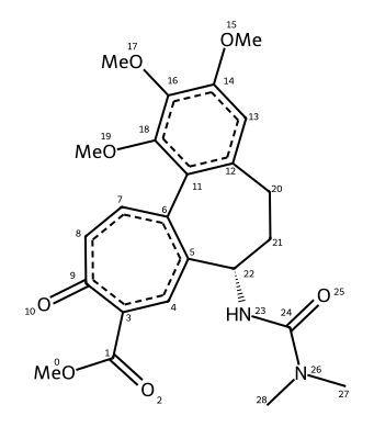 COC(=O)c1cc2c(ccc1=O)-c1c(cc(OC)c(OC)c1OC)CC[C@@H]2NC(=O)N(C)C